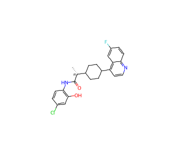 C[C@@H](C(=O)Nc1ccc(Cl)cc1O)C1CCC(c2ccnc3ccc(F)cc23)CC1